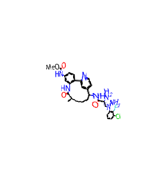 COC(=O)Nc1ccc2c(c1)NC(=O)C(C)CCCC(NC(=O)/C(N)=C/N(N)c1cccc(Cl)c1F)c1ccnc-2c1